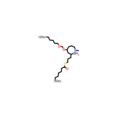 CCCCCCCCCCCCCCCOCOC1CCCN(C)[SiH2]C(CCCSC(=O)CCCCCCCCCCCCCCC)C1